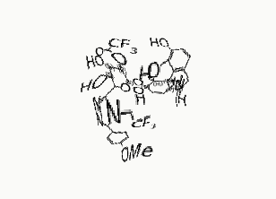 COc1ccc(-c2nnc(C3O[C@@H](O[C@@]4(O)C=C[C@H]5[C@H]6Cc7ccc(O)c8c7[C@@]5(CCN6C)[C@H]4O8)[C@H](OC(=O)C(F)(F)F)[C@@H](O)[C@@H]3O)n2CC(F)(F)F)cc1